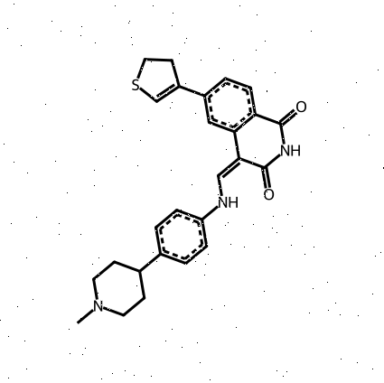 CN1CCC(c2ccc(N/C=C3\C(=O)NC(=O)c4ccc(C5=CSCC5)cc43)cc2)CC1